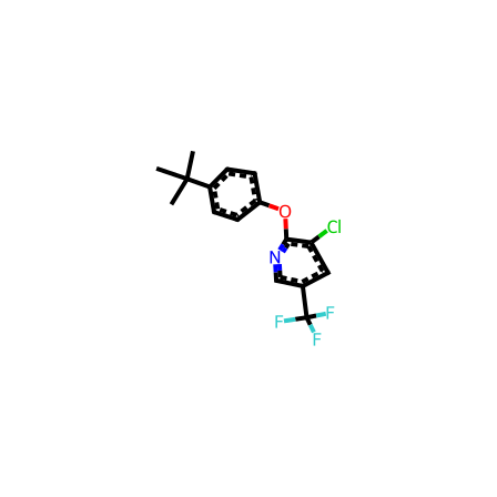 CC(C)(C)c1ccc(Oc2ncc(C(F)(F)F)cc2Cl)cc1